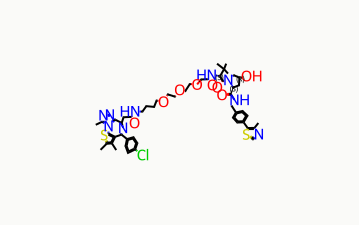 Cc1ncsc1-c1ccc(CNC(=O)[C@@H]2C[C@@H](O)CN2C(=O)[C@@H](NC(=O)COCCOCCOCCCCNC(=O)CC2N=C(c3ccc(Cl)cc3)c3c(sc(C)c3C)-n3c(C)nnc32)C(C)(C)C)cc1